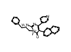 C[N+]1(CCCc2ccccc2)C(=O)C(c2ccc3ccccc3c2)=C(c2ccncc2)N=C1N